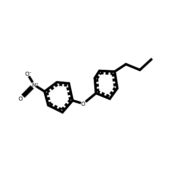 CCCc1ccc(Oc2ccc([N+](=O)[O-])cc2)cc1